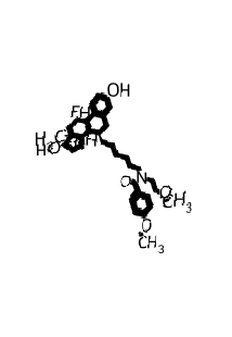 CCOc1ccc(C(=O)N(CCCCCC[C@@H]2Cc3cc(O)ccc3[C@@H]3[C@@H]2[C@@H]2CC[C@H](O)[C@@]2(C)C[C@@H]3F)CCOC)cc1